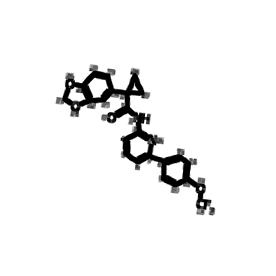 O=C(Nc1cccc(-c2ccc(OC(F)(F)F)cc2)n1)C1(c2ccc3c(c2)OCO3)CC1